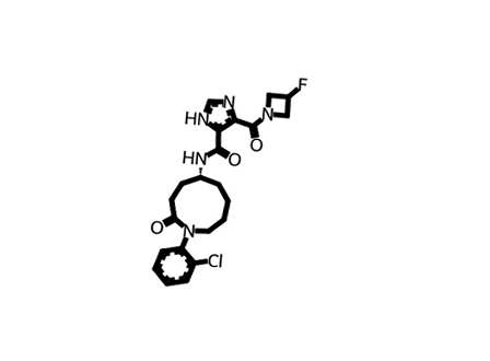 O=C(N[C@@H]1CCCCN(c2ccccc2Cl)C(=O)CC1)c1[nH]cnc1C(=O)N1CC(F)C1